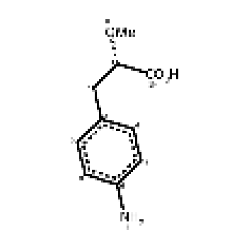 CO[C@@H](Cc1ccc(N)cc1)C(=O)O